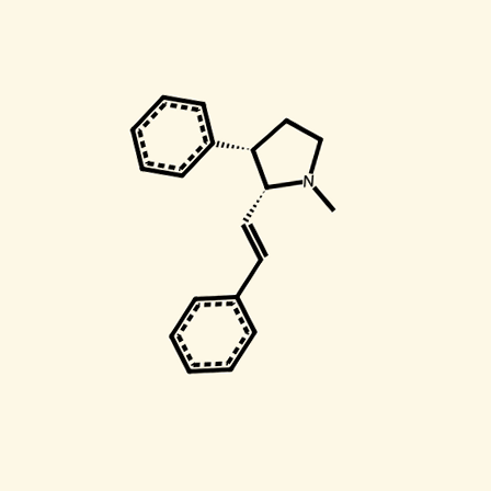 CN1CC[C@@H](c2ccccc2)[C@H]1/C=C/c1ccccc1